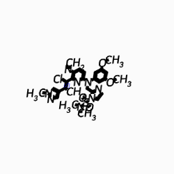 C=Nc1ccc(N(Cc2nccn2S(=O)(=O)N(C)C)c2cc(OC)cc(OC)c2)nc1/C(Cl)=C(\C)c1cnn(C)c1